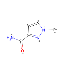 CC(C)n1ccc(C(N)=O)n1